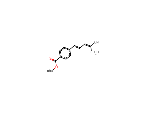 CCCCOC(=O)c1ccc(C=CC=C(C#N)C(=O)O)cc1